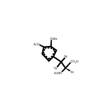 [2H]C([2H])(c1ccc(OC(C)=O)c(OC)c1)[C@@]([2H])(NC(C)=O)C(=O)O